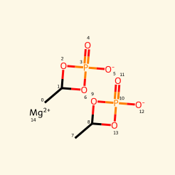 CC1OP(=O)([O-])O1.CC1OP(=O)([O-])O1.[Mg+2]